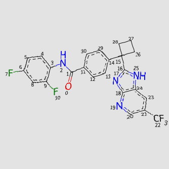 O=C(Nc1ccc(F)cc1F)c1ccc(C2(c3nc4ncc(C(F)(F)F)cc4[nH]3)CCC2)cc1